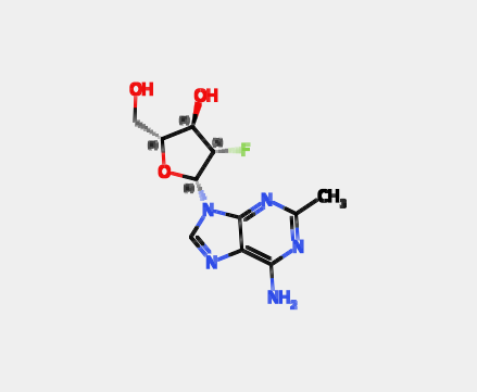 Cc1nc(N)c2ncn([C@@H]3O[C@H](CO)[C@@H](O)[C@@H]3F)c2n1